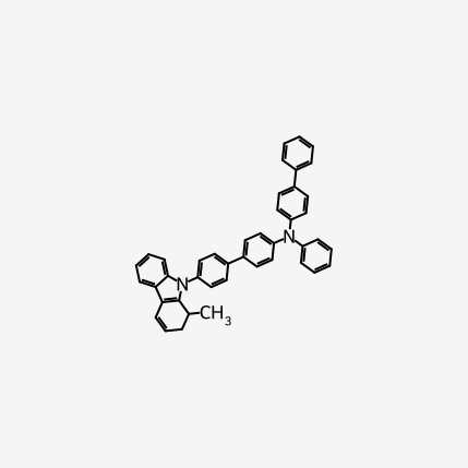 CC1CC=Cc2c1n(-c1ccc(-c3ccc(N(c4ccccc4)c4ccc(-c5ccccc5)cc4)cc3)cc1)c1ccccc21